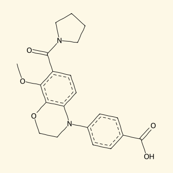 COc1c(C(=O)N2CCCC2)ccc2c1OCCN2c1ccc(C(=O)O)cc1